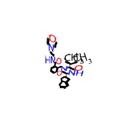 CCC(CC)[C@@H]1C(=O)N[C@H](C2Cc3ccccc3C2)C(=O)N1Cc1ccccc1C(=O)NCCN1CCOCC1